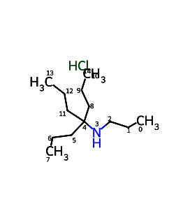 CCCNC(CCC)(CCC)CCC.Cl